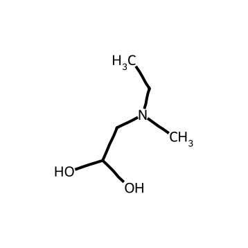 CCN(C)CC(O)O